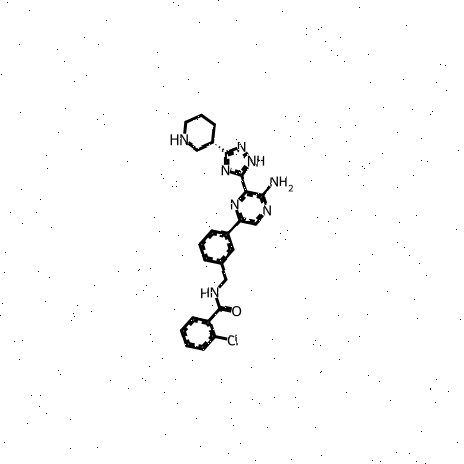 Nc1ncc(-c2cccc(CNC(=O)c3ccccc3Cl)c2)nc1-c1nc([C@H]2CCCNC2)n[nH]1